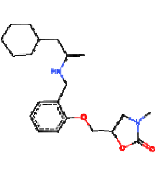 CC(CC1CCCCC1)NCc1ccccc1OCC1CN(C)C(=O)O1